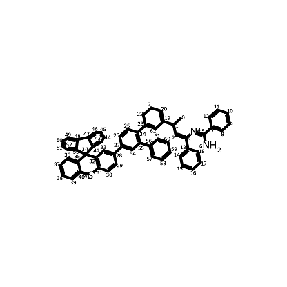 CC(/C=C(\N=C(/N)c1ccccc1)c1ccccc1)C1=CCCC(c2ccc(-c3ccc4c(c3)C3(c5ccccc5S4)c4ccccc4-c4ccccc43)cc2-c2ccccc2)=C1